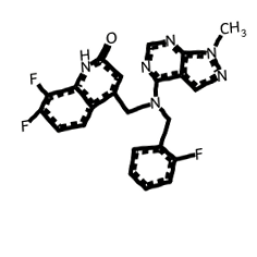 Cn1ncc2c(N(Cc3ccccc3F)Cc3cc(=O)[nH]c4c(F)c(F)ccc34)ncnc21